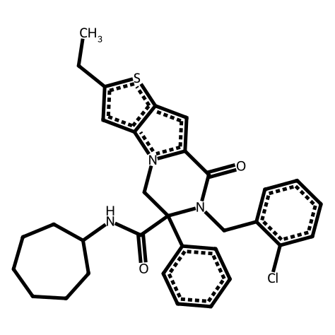 CCc1cc2c(cc3n2CC(C(=O)NC2CCCCCC2)(c2ccccc2)N(Cc2ccccc2Cl)C3=O)s1